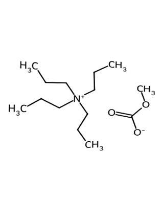 CCC[N+](CCC)(CCC)CCC.COC(=O)[O-]